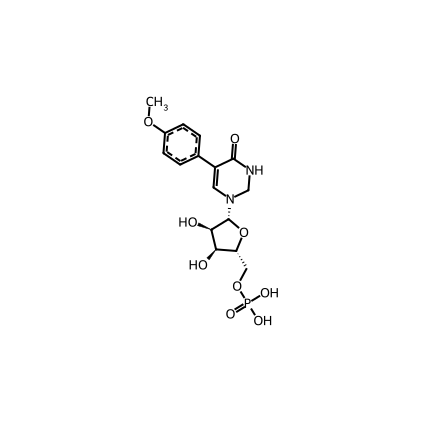 COc1ccc(C2=CN([C@@H]3O[C@H](COP(=O)(O)O)[C@@H](O)[C@H]3O)CNC2=O)cc1